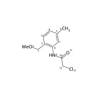 COCc1ccc(C)cc1NC(=O)CCl